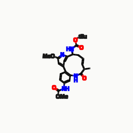 COC(=O)Nc1ccc2c(c1)NC(=O)C(C)/C=C/C[C@H](NC(=O)OC(C)(C)C)c1cc-2cc(OC)n1